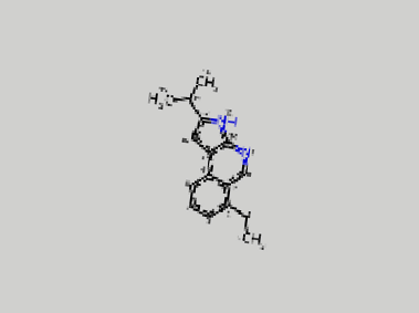 CCc1cccc2c1cnc1[nH]c(C(C)C)cc12